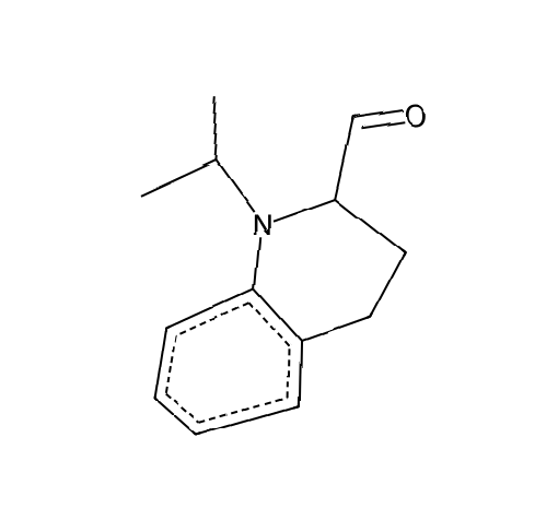 CC(C)N1c2ccccc2CCC1C=O